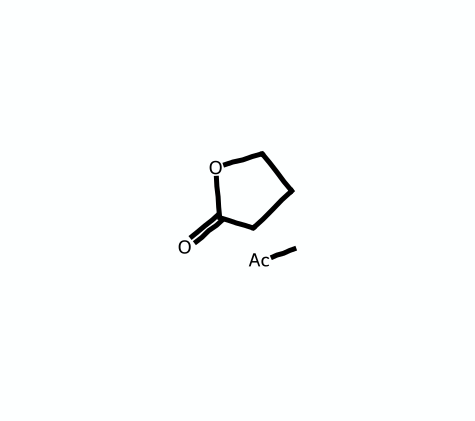 CC(C)=O.O=C1CCCO1